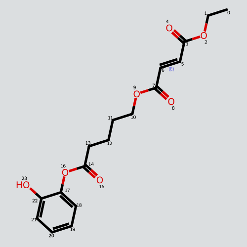 CCOC(=O)/C=C/C(=O)OCCCCC(=O)Oc1ccccc1O